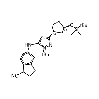 CC(C)(C)n1nc([C@H]2CC[C@@H](O[Si](C)(C)C(C)(C)C)C2)cc1Nc1ccc2c(c1)CCC2C#N